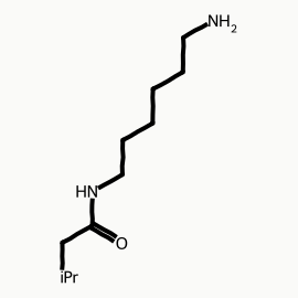 CC(C)CC(=O)NCCCCCCN